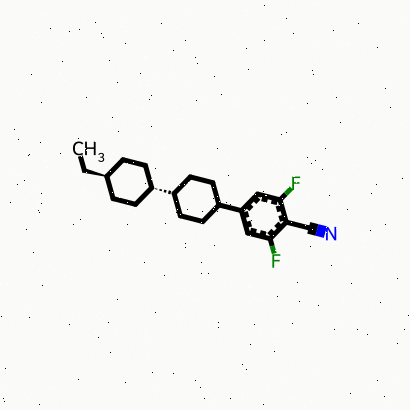 CC[C@H]1CC[C@H](C2CCC(c3cc(F)c(C#N)c(F)c3)CC2)CC1